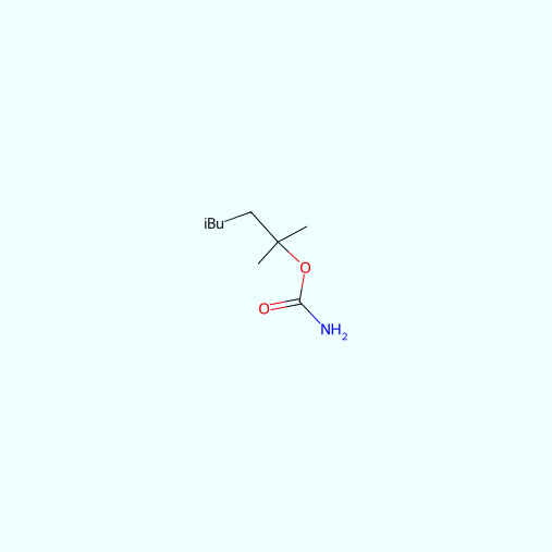 CCC(C)CC(C)(C)OC(N)=O